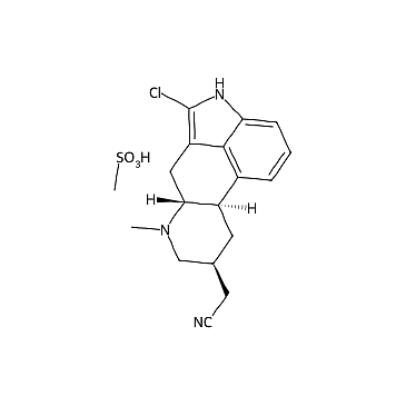 CN1C[C@H](CC#N)C[C@@H]2c3cccc4[nH]c(Cl)c(c34)C[C@H]21.CS(=O)(=O)O